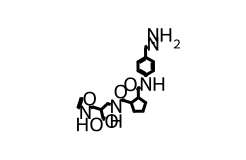 NN=Cc1ccc(NC(=O)C2CCCC2C(=O)NCC(C(=O)O)c2ncco2)cc1